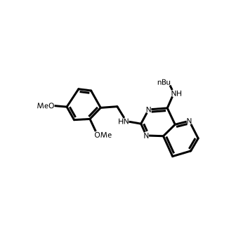 CCCCNc1nc(NCc2ccc(OC)cc2OC)nc2cccnc12